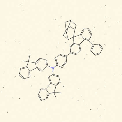 CC1(C)c2ccccc2-c2cc(N(c3ccc(-c4ccc5c(c4)C4(c6cccc(-c7ccccc7)c6-5)C5CC6CC(C5)CC4C6)cc3)c3ccc4c(c3)-c3ccccc3C4(C)C)ccc21